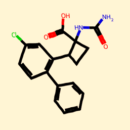 NC(=O)NC1(C(=O)O)CCC1c1cc(Cl)ccc1-c1ccccc1